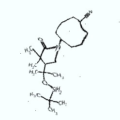 CC(C)(C)[SiH2]OC(C)(C)C1CN(C2CCCC(C#N)CCC2)C(=O)C1(C)C